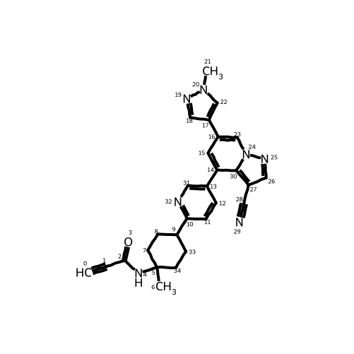 C#CC(=O)NC1(C)CCC(c2ccc(-c3cc(-c4cnn(C)c4)cn4ncc(C#N)c34)cn2)CC1